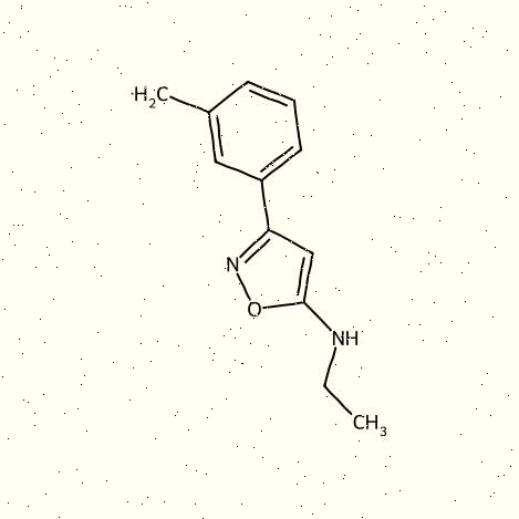 [CH2]c1cccc(-c2cc(NCC)on2)c1